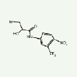 O=C(Nc1ccc([N+](=O)[O-])c(C(F)(F)F)c1)C(O)CBr